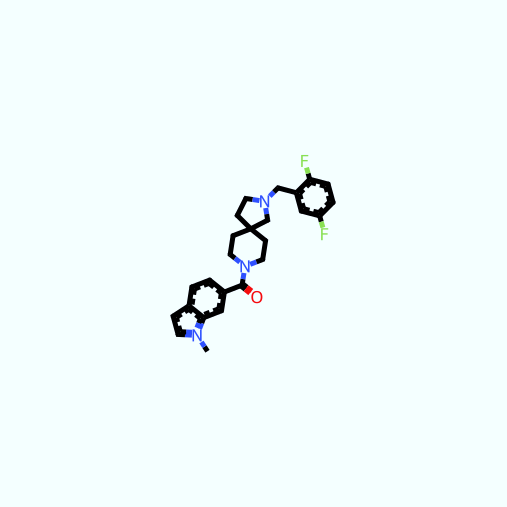 Cn1ccc2ccc(C(=O)N3CCC4(CCN(Cc5cc(F)ccc5F)C4)CC3)cc21